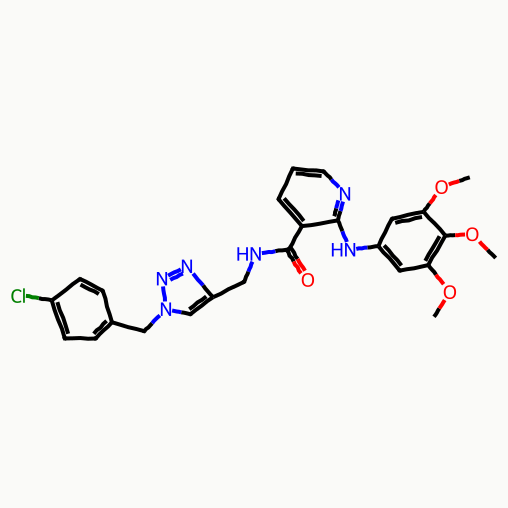 COc1cc(Nc2ncccc2C(=O)NCc2cn(Cc3ccc(Cl)cc3)nn2)cc(OC)c1OC